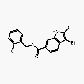 CCc1c(Cl)[nH]c2cc(C(=O)NCc3ccccc3Cl)ccc12